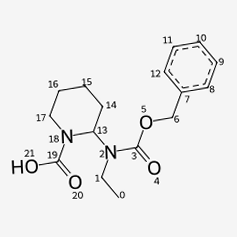 CCN(C(=O)OCc1ccccc1)C1CCCCN1C(=O)O